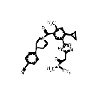 Cc1cc(C2CC2)c(-c2nnc(CC(=O)N(C)C)[nH]2)cc1C(=O)N1CCC(c2ccc(C#N)cc2)CC1